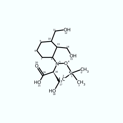 C[Si](C)(C)ON(C1CCCC(CO)C1CO)[C@@H](CO)C(=O)O